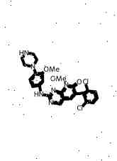 COc1cc(Nc2ncc3cc(-c4c(Cl)cccc4Cl)c(=O)n(OC)c3n2)ccc1N1CCNCC1